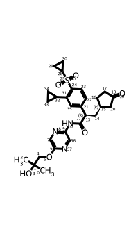 CC(C)(O)COc1cnc(NC(=O)[C@H](C[C@H]2CCC(=O)C2)c2ccc(S(=O)(=O)C3CC3)c(C3CC3)c2)cn1